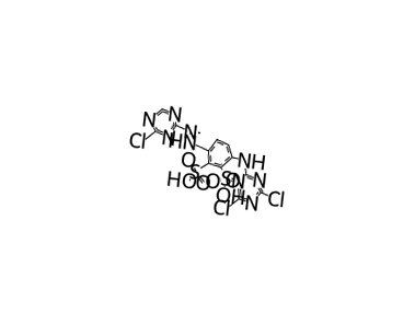 O=S(=O)(O)c1c(N[N]c2ncnc(Cl)n2)ccc(Nc2nc(Cl)nc(Cl)n2)c1S(=O)(=O)O